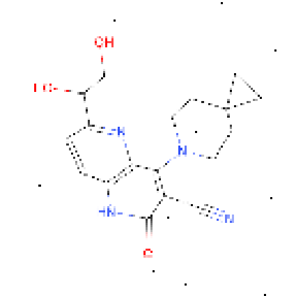 N#Cc1c(N2CCC3(CC2)CC3)c2nc(C(O)CO)ccc2[nH]c1=O